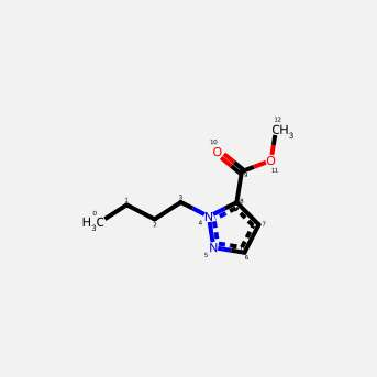 CCCCn1nccc1C(=O)OC